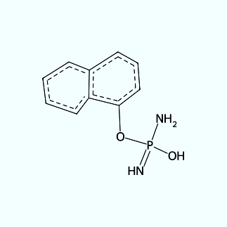 N=P(N)(O)Oc1cccc2ccccc12